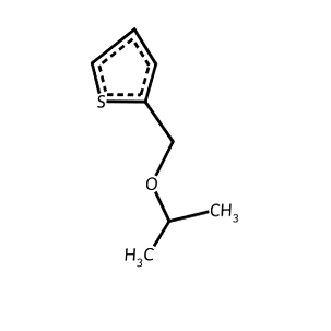 CC(C)OCc1cccs1